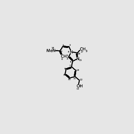 C=C(/C=C\n1cc(-c2cccc(CO)c2)nc1C)NC